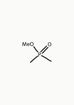 COP(C)(C)=O